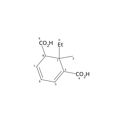 CCC1(C)C(C(=O)O)=CC=CC1C(=O)O